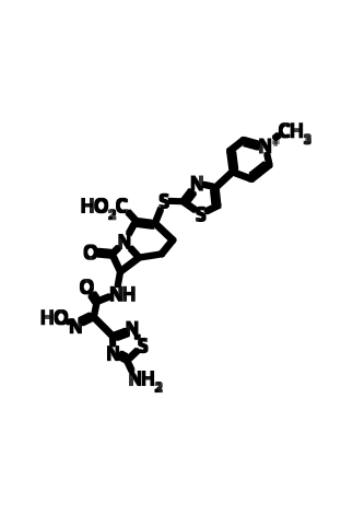 C[n+]1ccc(-c2csc(SC3=C(C(=O)O)N4C(=O)C(NC(=O)/C(=N\O)c5nsc(N)n5)C4CC3)n2)cc1